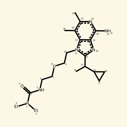 CCN(CC)C(=O)NCCOCCn1c(C(C)C2CC2)nc2c(N)nc(C)c(C)c21